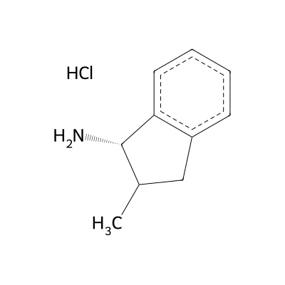 CC1Cc2ccccc2[C@H]1N.Cl